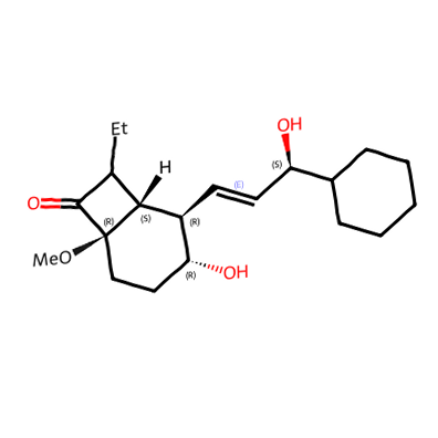 CCC1C(=O)[C@@]2(OC)CC[C@@H](O)[C@H](/C=C/[C@@H](O)C3CCCCC3)[C@@H]12